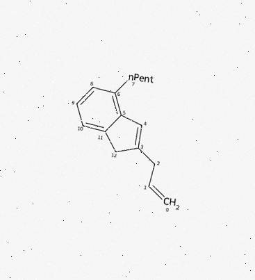 C=CCC1=Cc2c(CCCCC)cccc2C1